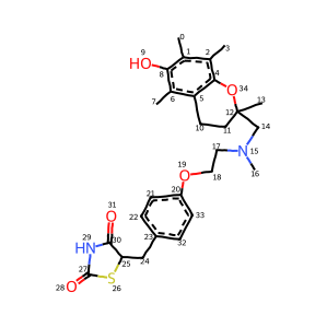 Cc1c(C)c2c(c(C)c1O)CCC(C)(CN(C)CCOc1ccc(CC3SC(=O)NC3=O)cc1)O2